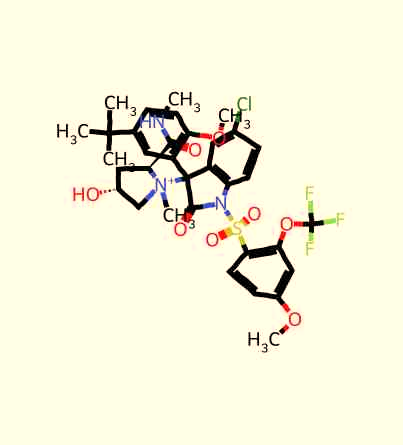 CNC(=O)[C@@H]1C[C@@H](O)C[N+]1(C)C1(c2cc(C(C)(C)C)ccc2OC)C(=O)N(S(=O)(=O)c2ccc(OC)cc2OC(F)(F)F)c2ccc(Cl)cc21